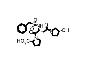 O=C(O)[C@@H]1CCCN1C(=O)[C@@H](CC(=O)N1CC[C@@H](O)C1)NS(=O)(=O)Cc1ccccc1